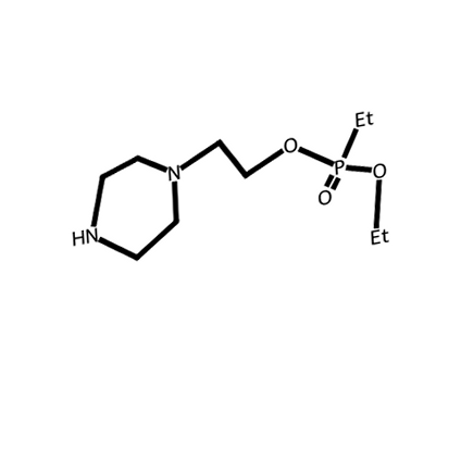 CCOP(=O)(CC)OCCN1CCNCC1